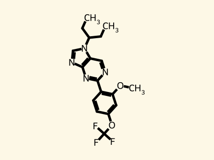 CCC(CC)n1cnc2nc(-c3ccc(OC(F)(F)F)cc3OC)ncc21